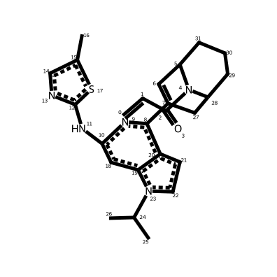 C=CC(=O)N1C2C=C(c3nc(Nc4ncc(C)s4)cc4c3ccn4C(C)C)CC1CCC2